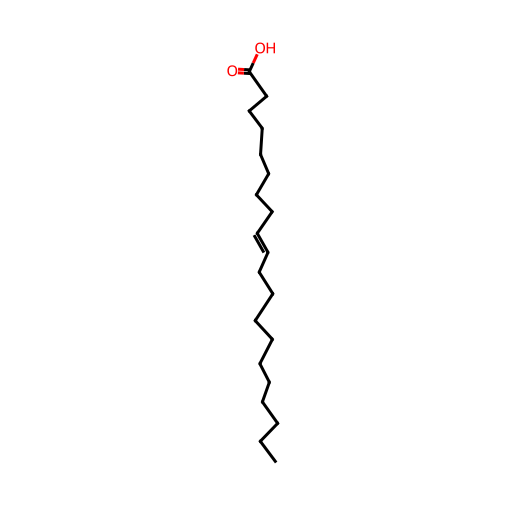 CCCCCCCCCCC=CCCCCCCCC(=O)O